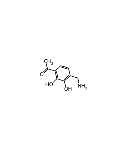 CC(=O)c1ccc(CN)c(O)c1O